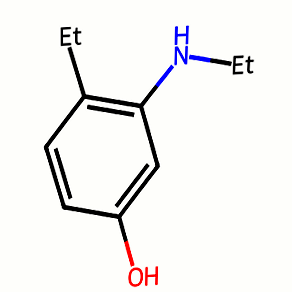 CCNc1cc(O)ccc1CC